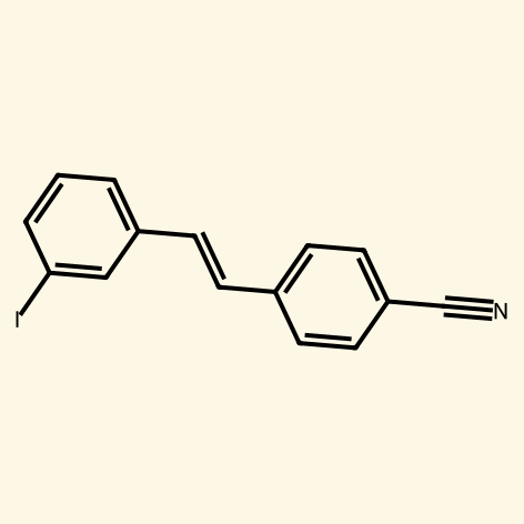 N#Cc1ccc(/C=C/c2cccc(I)c2)cc1